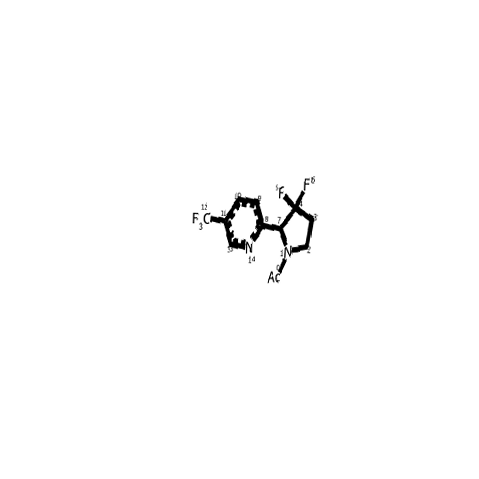 CC(=O)N1CCC(F)(F)C1c1ccc(C(F)(F)F)cn1